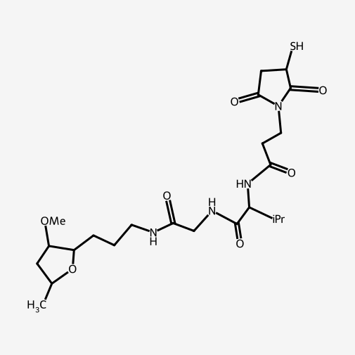 COC1CC(C)OC1CCCNC(=O)CNC(=O)C(NC(=O)CCN1C(=O)CC(S)C1=O)C(C)C